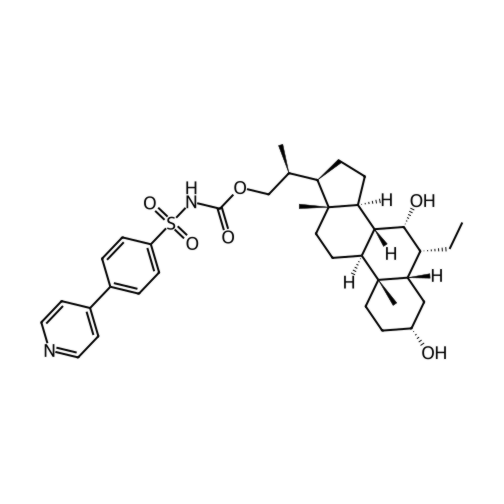 CC[C@H]1[C@@H](O)[C@@H]2[C@H](CC[C@]3(C)[C@@H]([C@H](C)COC(=O)NS(=O)(=O)c4ccc(-c5ccncc5)cc4)CC[C@@H]23)[C@@]2(C)CC[C@@H](O)C[C@@H]12